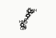 O=C(Nc1ccc(Cl)c(C(F)(F)F)c1)OCc1ccc(-c2ncnc3[nH]ccc23)cc1